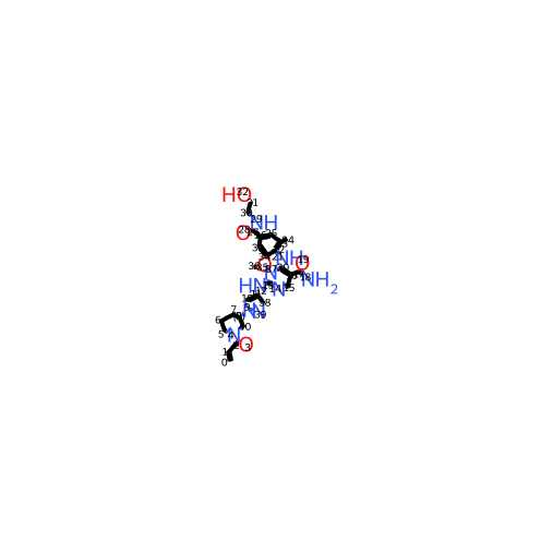 C=CC(=O)N1CCC[C@@H](n2cc(Nc3ncc(C(N)=O)c(Nc4c(C)cc(C(=O)NCCO)cc4OC)n3)cn2)C1